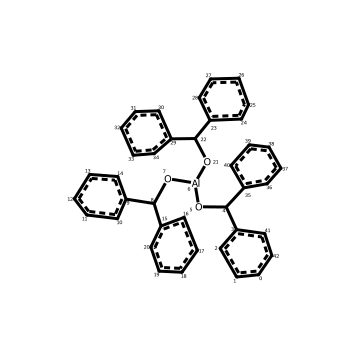 c1ccc(C([O][Al]([O]C(c2ccccc2)c2ccccc2)[O]C(c2ccccc2)c2ccccc2)c2ccccc2)cc1